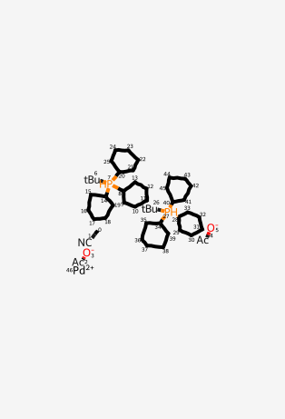 CC#N.CC(=O)[O-].CC(=O)[O-].CC(C)(C)[PH](C1CCCCC1)(C1CCCCC1)C1CCCCC1.CC(C)(C)[PH](C1CCCCC1)(C1CCCCC1)C1CCCCC1.[Pd+2]